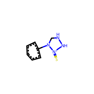 S=[N+]1NNCN1c1ccccc1